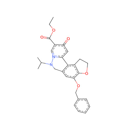 CCOC(=O)c1cn2c(cc1=O)-c1c(cc(OCc3ccccc3)c3c1CCO3)CN2C(C)C